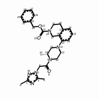 Cc1nc(C)n(CC(=O)N2CCN(c3cccc4c3CN(C(=O)OCc3ccccc3)CC4)C[C@H]2C)n1